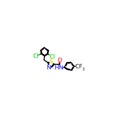 O=C(Nc1ccc(C(F)(F)F)cc1)c1cnc(Cc2c(Cl)cccc2Cl)s1